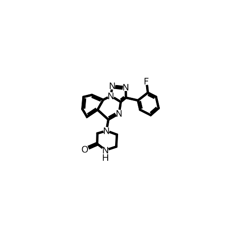 O=C1CN(c2nc3c(-c4ccccc4F)nnn3c3ccccc23)CCN1